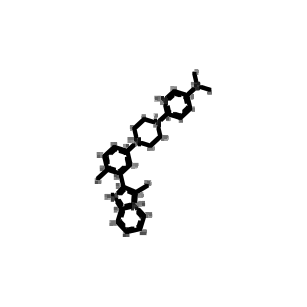 CB(C)c1ccc(N2CCN(c3ccc(C)c(-c4nc5ccccn5c4C)c3)CC2)nc1